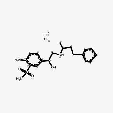 CC(CCc1ccccc1)NCC(O)c1ccc(N)c(S(N)(=O)=O)c1.Cl.Cl